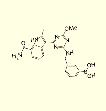 COc1nc(NCc2cccc(B(O)O)c2)nc(-c2c(C)[nH]c3c(C(N)=O)cccc23)n1